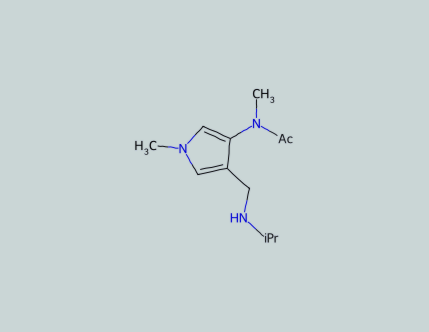 CC(=O)N(C)c1cn(C)cc1CNC(C)C